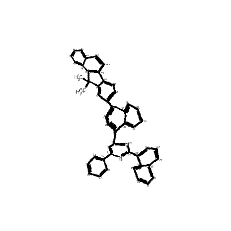 CC1(C)c2cc(-c3ccc(-c4cc(-c5ccccc5)nc(-c5cccc6ccccc56)n4)c4ccccc34)ccc2-c2ccc3ccccc3c21